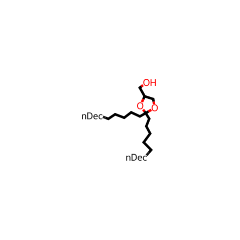 CCCCCCCCCCCCCCCC1(CCCCCCCCCCCCCCC)OCC(CO)O1